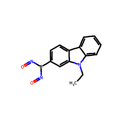 CCn1c2ccccc2c2ccc(B(N=O)N=O)cc21